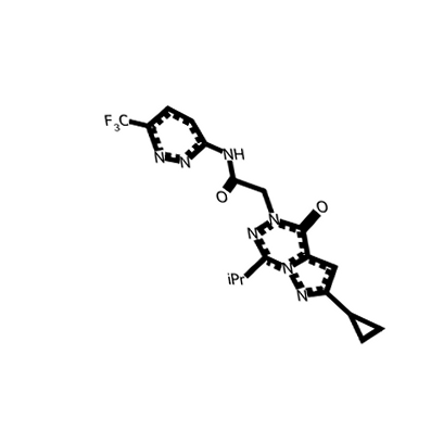 CC(C)c1nn(CC(=O)Nc2ccc(C(F)(F)F)nn2)c(=O)c2cc(C3CC3)nn12